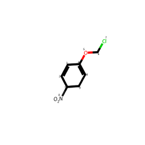 O=[N+]([O-])C1C=CC(OCCl)=CC1